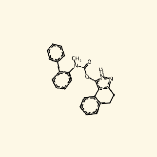 CN(C(=O)Oc1[nH]nc2c1-c1ccccc1CC2)c1ccccc1-c1ccccc1